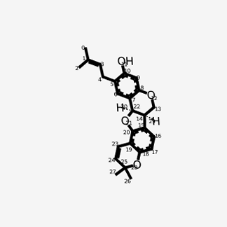 CC(C)=CCc1cc2c(cc1O)OC[C@H]1c3ccc4c(c3O[C@@H]21)C=CC(C)(C)O4